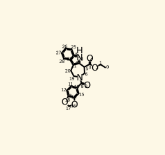 CCOC(=O)C1CN(C(=O)c2ccc3c(c2)OCO3)CCc2c1[nH]c1ccccc21